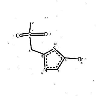 CS(=O)(=O)Cc1ncc(Br)s1